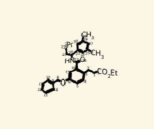 CCOC(=O)CCc1ccc(OCc2ccccc2)cc1C(=O)NC(CC(C)C)c1cc(C)cc(C)c1